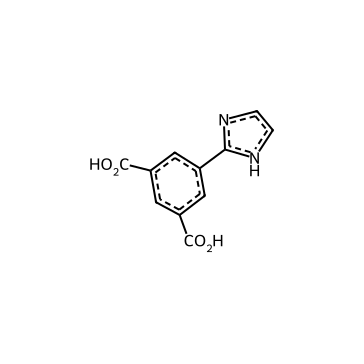 O=C(O)c1cc(C(=O)O)cc(-c2ncc[nH]2)c1